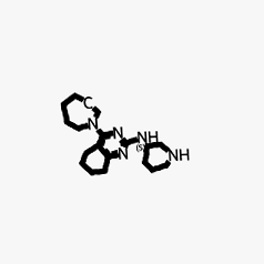 C1CCCN(c2nc(N[C@H]3CCCNC3)nc3c2CCCC3)CC1